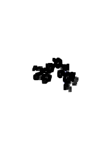 CC(=O)N(CCO)c1ncc(-c2cc(NC(=O)C(/C=C(\N)C(F)(F)F)=C/N)ccc2C)cc1N1CCOCC1